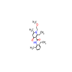 CCc1cccc(C)c1NC(=O)c1c(CC)n(CCOC)c(C)cc1=O